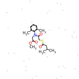 COC(=O)CN(C(=O)CSC(=O)CC(C)C)c1c(C)cccc1C